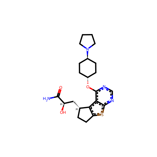 NC(=O)[C@H](O)C[C@H]1CCc2sc3ncnc(O[C@H]4CC[C@H](N5CCCC5)CC4)c3c21